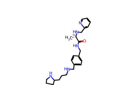 C[C@H](NCc1ccccn1)C(=O)NCc1ccc(CNCCCC2CCCN2)cc1